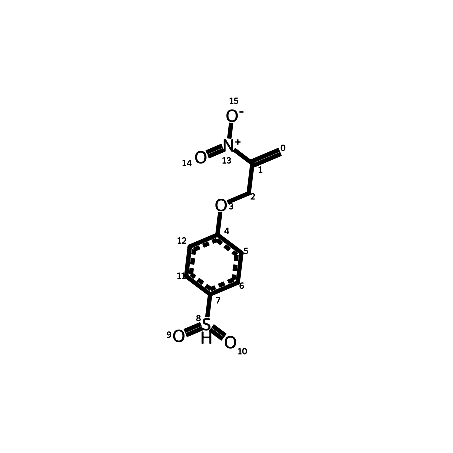 C=C(COc1ccc([SH](=O)=O)cc1)[N+](=O)[O-]